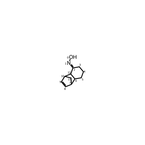 ON=C1CCCC2C3C=CC(C3)C12